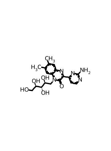 Cc1cc2nc(-c3ccnc(N)n3)c(=O)n(C[C@H](O)[C@H](O)[C@H](O)CO)c2cc1C